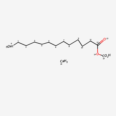 CCCCCCCCCCCCCCCCCCCCCC(=O)OC(=O)O.[CaH2]